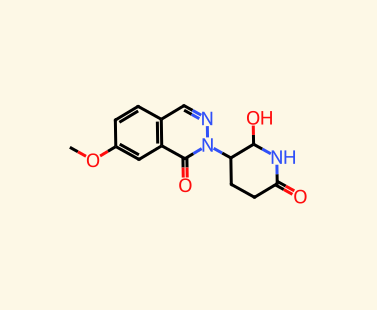 COc1ccc2cnn(C3CCC(=O)NC3O)c(=O)c2c1